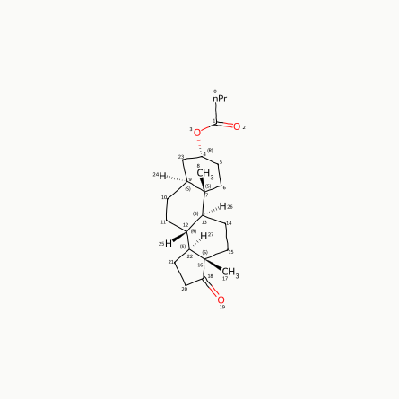 CCCC(=O)O[C@@H]1CC[C@@]2(C)[C@@H](CC[C@@H]3[C@@H]2CC[C@]2(C)C(=O)CC[C@@H]32)C1